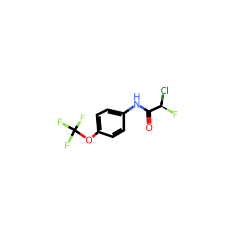 O=C(Nc1ccc(OC(F)(F)F)cc1)[C@H](F)Cl